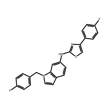 Fc1ccc(Cn2ccc3ccc(Nc4nc(-c5ccc(F)cc5)cs4)cc32)cc1